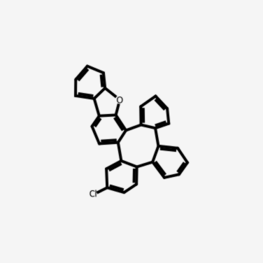 Clc1ccc2c(c1)-c1ccc3c(oc4ccccc43)c1-c1ccccc1-c1ccccc1-2